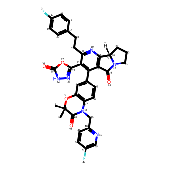 CC1(C)Oc2cc(-c3c4c(nc(CCc5ccc(F)cc5)c3-c3n[nH]c(=O)o3)[C@@H]3CCCN3C4=O)ccc2N(Cc2ccc(F)cn2)C1=O